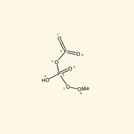 COOP(=O)(O)OP(=O)=O